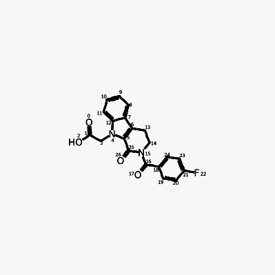 O=C(O)Cn1c2c(c3ccccc31)CCN(C(=O)c1ccc(F)cc1)C2=O